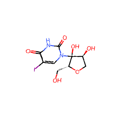 O=c1[nH]c(=O)n([C@]2(O)[C@@H](O)CO[C@@H]2CO)cc1I